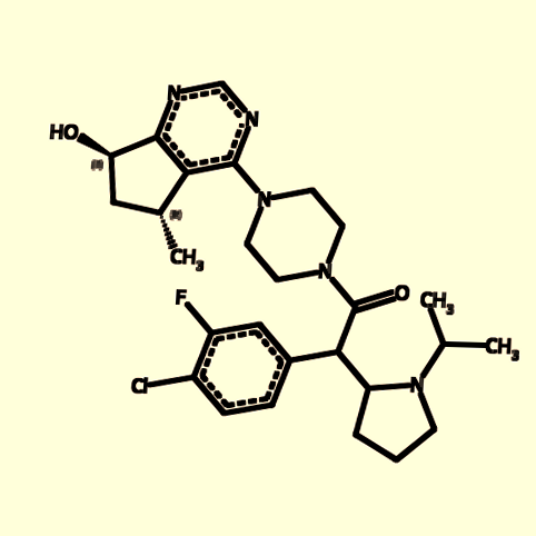 CC(C)N1CCCC1C(C(=O)N1CCN(c2ncnc3c2[C@H](C)C[C@H]3O)CC1)c1ccc(Cl)c(F)c1